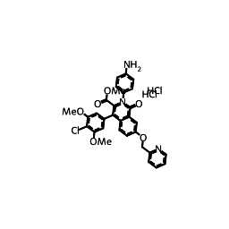 COC(=O)c1c(-c2cc(OC)c(Cl)c(OC)c2)c2ccc(OCc3ccccn3)cc2c(=O)n1-c1ccc(N)cc1.Cl.Cl